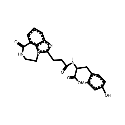 COC(=O)C(Cc1ccc(O)cc1)NC(=O)CCc1nc2cccc3c2n1CCNC3=O